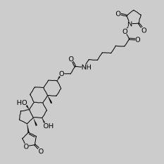 C[C@]12CC[C@H](OCC(=O)NCCCCCCC(=O)ON3C(=O)CCC3=O)CC1CCC1C2C[C@@H](O)[C@]2(C)[C@@H](C3=CC(=O)OC3)CC[C@]12O